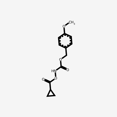 COc1ccc(COC(=O)NOC(=O)C2CC2)cc1